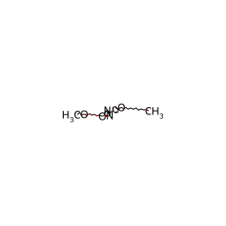 CCCCCCCCCCCOc1ccc(-c2ncc(OCCCCCCOCCC)cn2)cc1